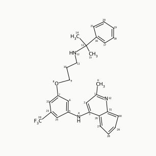 Cc1cc(Nc2cc(OCCCNC(C)(C)c3ccccc3)cc(C(F)(F)F)c2)c2ccccc2n1